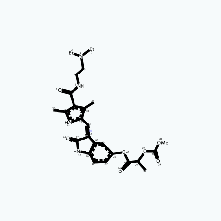 CCN(CC)CCNC(=O)c1c(C)[nH]c(/C=C2\C(=O)Nc3ccc(OC(=O)C(C)OC(=O)OC)cc32)c1C